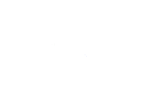 Cl.Fc1ccc(CN2CCOCC2)cc1CCl